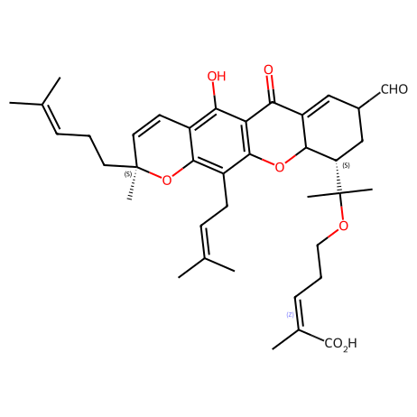 CC(C)=CCC[C@@]1(C)C=Cc2c(O)c3c(c(CC=C(C)C)c2O1)OC1C(=CC(C=O)C[C@@H]1C(C)(C)OCC/C=C(/C)C(=O)O)C3=O